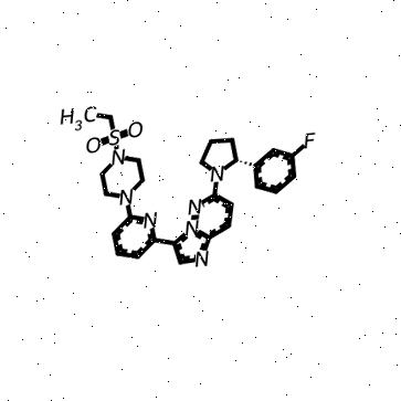 CCS(=O)(=O)N1CCN(c2cccc(-c3cnc4ccc(N5CCC[C@@H]5c5cccc(F)c5)nn34)n2)CC1